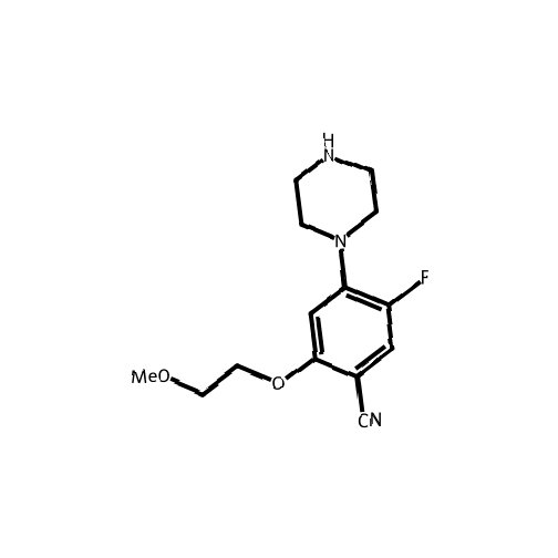 COCCOc1cc(N2CCNCC2)c(F)cc1C#N